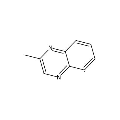 Cc1cnc2[c]cccc2n1